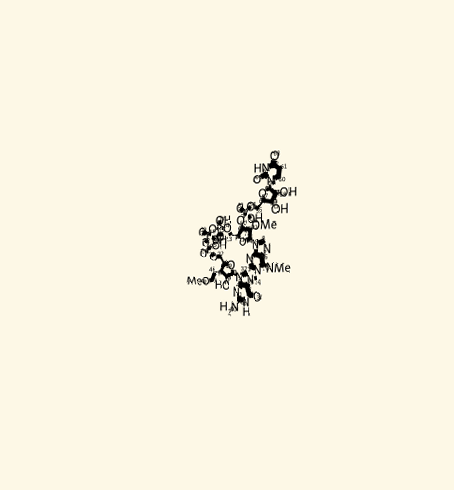 CNc1ncnc2c1ncn2[C@@H]1O[C@H](COP(=O)(O)OP(=O)(O)OP(=O)(O)OC[C@H]2O[C@@H](n3c[n+](C)c4c(=O)[nH]c(N)nc43)[C@H](O)[C@@H]2CCOC)[C@@H](OP(=O)(O)OC[C@H]2O[C@@H](n3ccc(=O)[nH]c3=O)[C@H](O)[C@@H]2O)[C@H]1OC